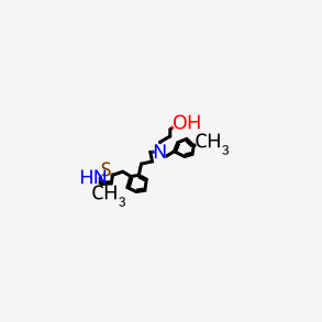 CC1=CC(Cc2ccccc2CCCN(CCCO)Cc2ccc(C)cc2)SN1